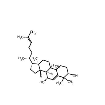 CC(C)=CCC[C@@H](C)[C@H]1CC[C@H]2[C@@H]3[C@H](O)C=C4C(C)(C)[C@H](O)CC[C@]4(C)[C@H]3CC[C@]12C